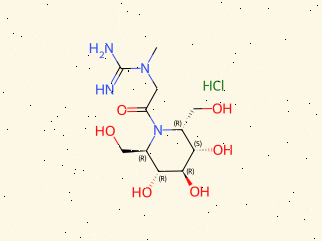 CN(CC(=O)N1[C@H](CO)[C@H](O)[C@@H](O)[C@H](O)[C@H]1CO)C(=N)N.Cl